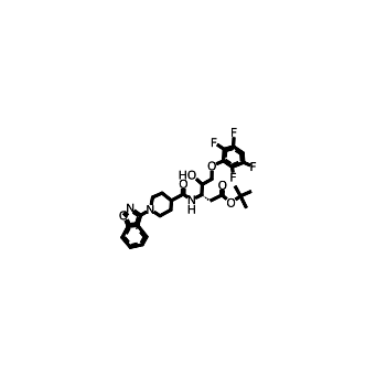 CC(C)(C)OC(=O)C[C@H](NC(=O)C1CCN(c2noc3ccccc23)CC1)C(O)COc1c(F)c(F)cc(F)c1F